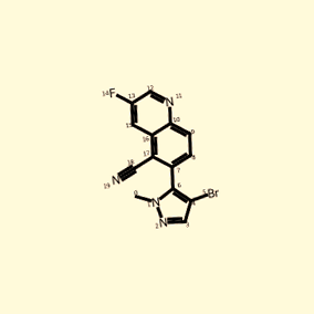 Cn1ncc(Br)c1-c1ccc2ncc(F)cc2c1C#N